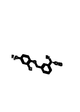 O=C[C@@H](Br)c1cccc(COc2ccc(C(F)(F)F)cc2Cl)c1